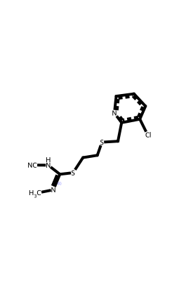 C/N=C(\NC#N)SCCSCc1ncccc1Cl